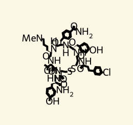 CNCCCC[C@@H]1NC(=O)[C@@H](Cc2ccc(C(N)=O)cc2)NC(=O)[C@H](Cc2ccc(O)cc2)NC(=O)[C@H](NC(=O)CCc2ccc(Cl)cc2)CSSC[C@@H](C(=O)N[C@H](Cc2ccc(O)cc2)C(N)=O)NC(=O)C(C(C)O)NC1=O